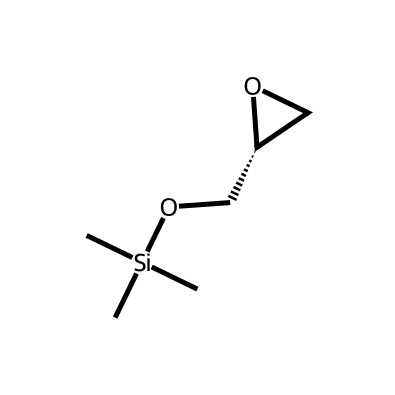 C[Si](C)(C)OC[C@H]1CO1